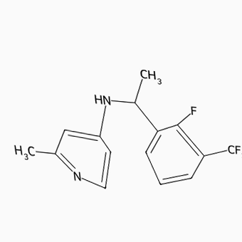 Cc1cc(NC(C)c2cccc(C(F)(F)F)c2F)ccn1